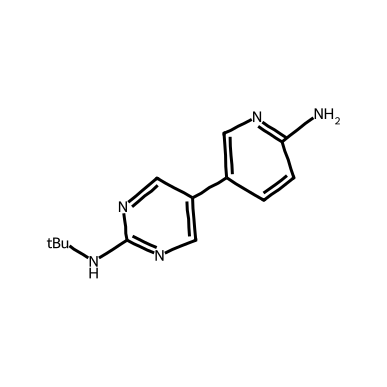 CC(C)(C)Nc1ncc(-c2ccc(N)nc2)cn1